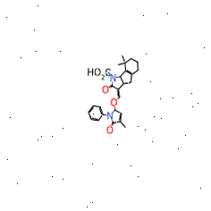 CC1=CC(OC=C2C(=O)N(C(=O)O)C3C4=C(CCCC4(C)C)CC23)N(c2ccccc2)C1=O